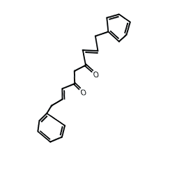 O=C(/C=C/Cc1ccccc1)CC(=O)/C=C/Cc1ccccc1